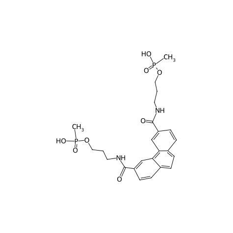 CP(=O)(O)OCCCNC(=O)c1ccc2ccc3ccc(C(=O)NCCCOP(C)(=O)O)cc3c2c1